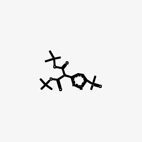 CC(C)(C)OC(=O)N(C(=O)OC(C)(C)C)c1ccc(P(C)(C)=O)nn1